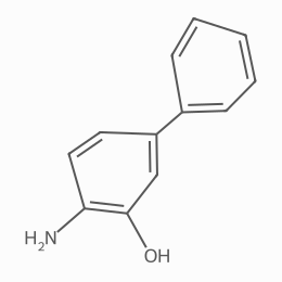 Nc1ccc(-c2ccccc2)cc1O